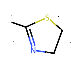 [CH2]C1=NCCS1